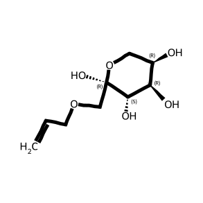 C=CCOC[C@@]1(O)OC[C@@H](O)[C@@H](O)[C@@H]1O